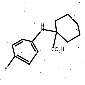 O=C(O)C1(Nc2ccc(F)cc2)CCCCC1